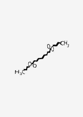 CCCCCOC(=O)CCCCCCCCC(=O)OCCCC